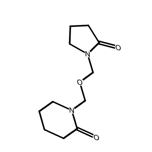 O=C1CCCCN1COCN1CCCC1=O